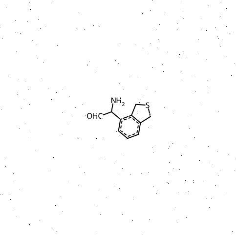 NC([C]=O)c1cccc2c1CSC2